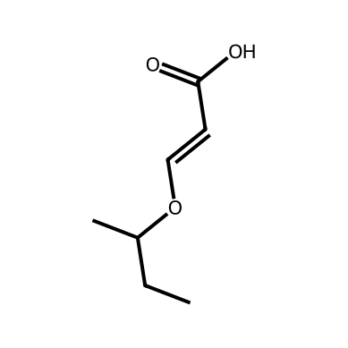 CCC(C)OC=CC(=O)O